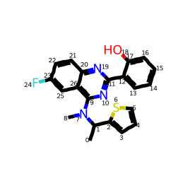 CC(c1cccs1)N(C)c1nc(-c2ccccc2O)nc2ccc(F)cc12